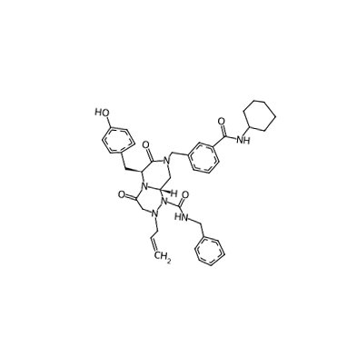 C=CCN1CC(=O)N2[C@@H](Cc3ccc(O)cc3)C(=O)N(Cc3cccc(C(=O)NC4CCCCC4)c3)C[C@@H]2N1C(=O)NCc1ccccc1